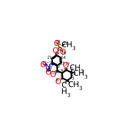 CC1(C)CC(C)(C)C(=O)C(C(=O)c2ccc(OS(C)(=O)=O)cc2[N+](=O)[O-])C1=O